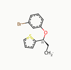 [CH2]C[C@H](Oc1cccc(Br)c1)c1cccs1